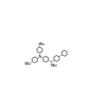 CC(C)(C)c1ccc(N(c2ccc(C(c3ccc(-c4ccccc4)cc3)C(C)(C)C)cc2)c2ccc(C(C)(C)C)cc2)cc1